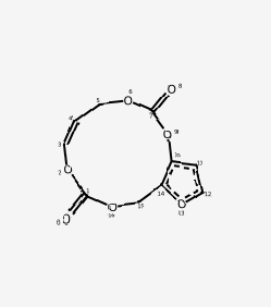 O=C1OC=CCOC(=O)Oc2ccoc2CO1